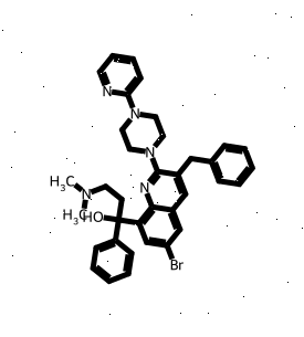 CN(C)CCC(O)(c1ccccc1)c1cc(Br)cc2cc(Cc3ccccc3)c(N3CCN(c4ccccn4)CC3)nc12